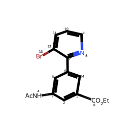 CCOC(=O)c1cc(NC(C)=O)cc(-c2ncccc2Br)c1